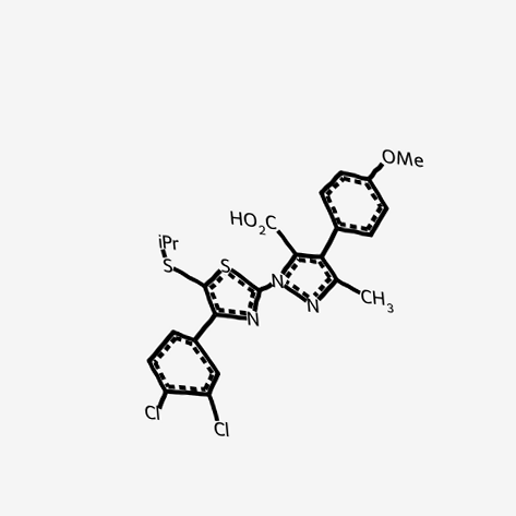 COc1ccc(-c2c(C)nn(-c3nc(-c4ccc(Cl)c(Cl)c4)c(SC(C)C)s3)c2C(=O)O)cc1